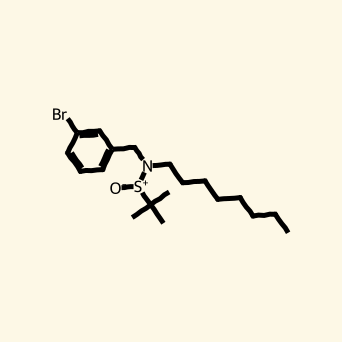 CCCCCCCCN(Cc1cccc(Br)c1)[S+]([O-])C(C)(C)C